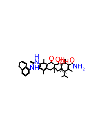 C=C(Nc1cc(C)c2c(c1C)C(=O)C1=C(O)[C@]3(O)C(=C)C(C(N)=O)=C(C)[C@@H](C(C)C)[C@]3(C)C[C@]1(C)C2)Nc1cccc2c1C=CCC2